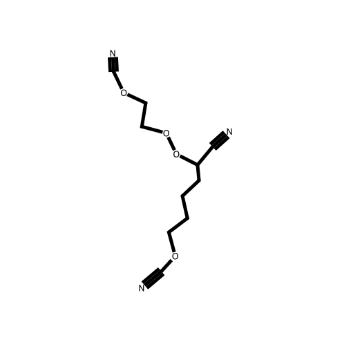 N#COCCCCC(C#N)OOCCOC#N